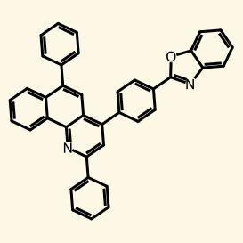 c1ccc(-c2cc(-c3ccc(-c4nc5ccccc5o4)cc3)c3cc(-c4ccccc4)c4ccccc4c3n2)cc1